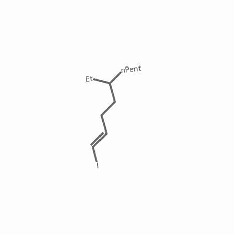 CCCCCC(CC)CCC=CI